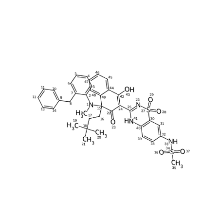 CN(c1ccccc1Cc1ccccc1)C1(CCC(C)(C)C)C(=O)C(C2=NS(=O)(=O)c3cc(NS(C)(=O)=O)ccc3N2)=C(O)c2ccccc21